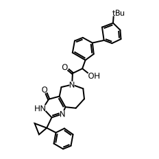 CC(C)(C)c1cccc(-c2cccc(C(O)C(=O)N3CCCc4nc(C5(c6ccccc6)CC5)[nH]c(=O)c4C3)c2)c1